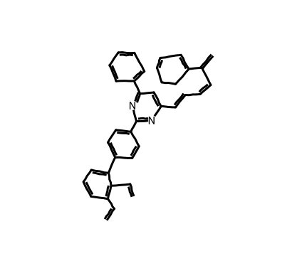 C=Cc1cccc(-c2ccc(-c3nc(/C=C/C=C\C(=C)C4=CC=CCC4)cc(-c4ccccc4)n3)cc2)c1C=C